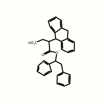 O=C(O)CC(C(=O)OC(Cc1ccccc1)c1ccccc1)C1c2ccccc2Cc2ccccc21